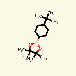 CC(C)(C)C1CCC(B2OC(C)(C)C(C)(C)O2)CC1